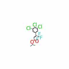 CC(C)OC(=O)C=C(c1cc(Cl)c(Cl)c(Cl)c1)C(F)(F)F